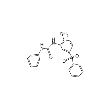 Nc1ccc(S(=O)(=O)c2ccccc2)cc1NC(=O)Nc1ccccc1